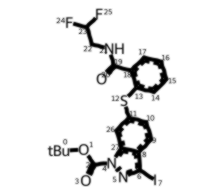 CC(C)(C)OC(=O)n1nc(I)c2ccc(Sc3ccccc3C(=O)NCC(F)F)cc21